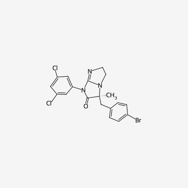 C[C@]1(Cc2ccc(Br)cc2)C(=O)N(c2cc(Cl)cc(Cl)c2)C2=NCCN21